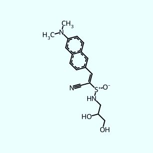 CN(C)c1ccc2cc(/C=C(\C#N)[S+]([O-])NCC(O)CO)ccc2c1